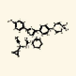 N#C[C@@H](NC(=O)[C@@H]1CCCC[C@H]1c1oc(-c2ccc(F)cc2)nc1-c1ccc(N2CCS(=O)(=O)CC2)cc1)C1CC1